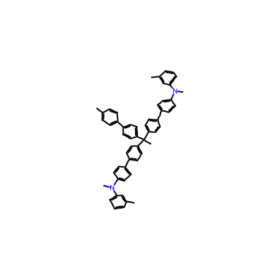 Cc1ccc(-c2ccc(C(C)(c3ccc(-c4ccc(N(C)c5cccc(C)c5)cc4)cc3)c3ccc(-c4ccc(N(C)c5cccc(C)c5)cc4)cc3)cc2)cc1